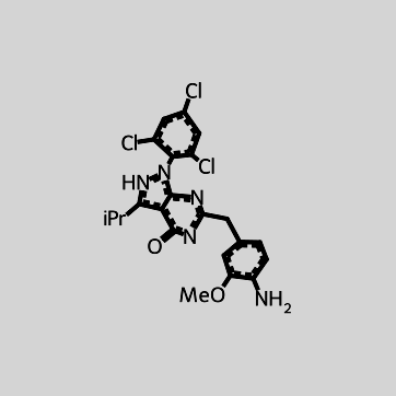 COc1cc(Cc2nc3n(-c4c(Cl)cc(Cl)cc4Cl)[nH]c(C(C)C)c-3c(=O)n2)ccc1N